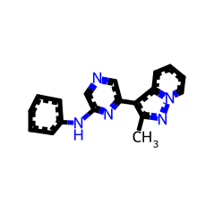 Cc1nn2ccccc2c1-c1cncc(Nc2ccccc2)n1